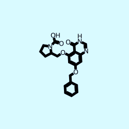 O=C(O)N1CCCC1COc1cc(OCc2ccccc2)cc2nc[nH]c(=O)c12